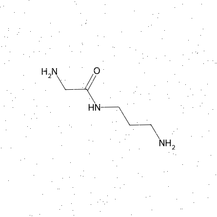 NCCCNC(=O)CN